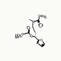 COC(=O)O[C@H](CCN(C)C(=O)OC)c1cccs1